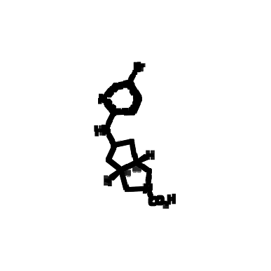 O=C(O)N1C[C@H]2CC(Nc3ccc(Br)cn3)C[C@H]2C1